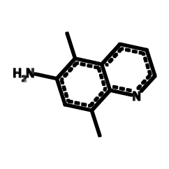 Cc1c(N)cc(C)c2ncccc12